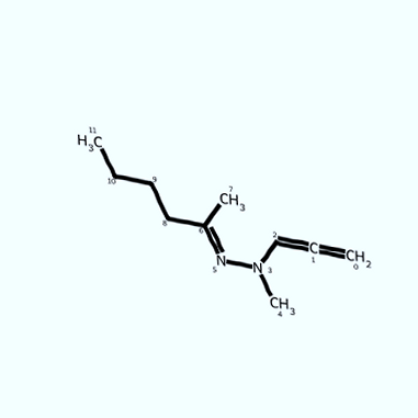 C=C=CN(C)/N=C(\C)CCCC